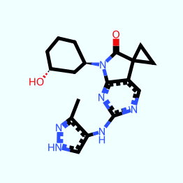 Cc1n[nH]cc1Nc1ncc2c(n1)N([C@@H]1CCC[C@@H](O)C1)C(=O)C21CC1